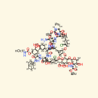 CCCCCCCCNC(=O)Oc1cc(O)c2c(c1)[C@@H](C(=O)NC1C3CC4CC(C3)CC1C4)NC(=O)[C@H]1NC(=O)[C@H](NC(=O)[C@@H]3NC(=O)[C@H](CC(N)=O)NC(=O)[C@H](NC(=O)[C@@H](CC(C)C)N(C)C(=O)OC(C)(C)C)[C@H](O)c4ccc(c(Cl)c4)Oc4cc3cc(c4OC3OC(CO)C(O)C(O)C3OC3CC(C)(NC(=O)OC(C)(C)C)C(O)C(C)O3)Oc3ccc(cc3Cl)[C@H]1O)c1ccc(O)c-2c1